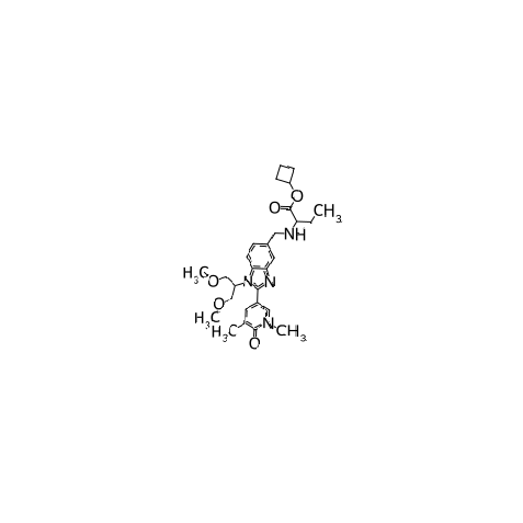 CCC(NCc1ccc2c(c1)nc(-c1cc(C)c(=O)n(C)c1)n2C(COC)COC)C(=O)OC1CCC1